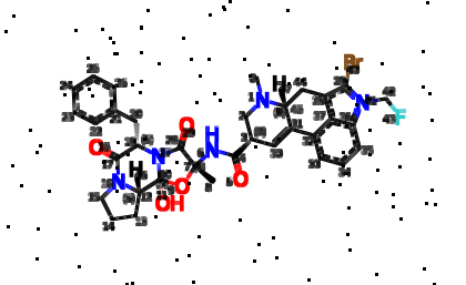 CN1C[C@H](C(=O)N[C@]2(C)O[C@@]3(O)[C@@H]4CCCN4C(=O)[C@H](Cc4ccccc4)N3C2=O)C=C2c3cccc4c3c(c(Br)n4CF)C[C@H]21